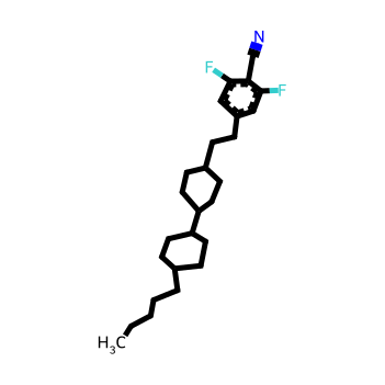 CCCCCC1CCC(C2CCC(CCc3cc(F)c(C#N)c(F)c3)CC2)CC1